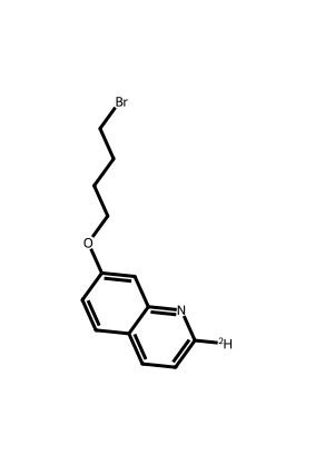 [2H]c1ccc2ccc(OCCCCBr)cc2n1